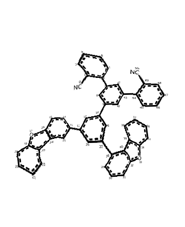 N#Cc1ccccc1-c1cc(-c2cc(-c3ccc4oc5ccccc5c4c3)cc(-c3cccc4oc5ccccc5c34)c2)cc(-c2ccccc2C#N)c1